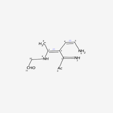 CC(=O)C(=N)C(/C=C\N)=C(/C)NCC=O